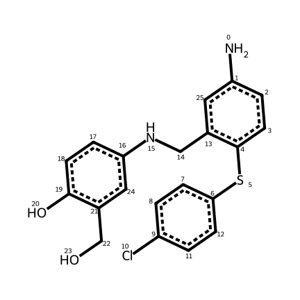 Nc1ccc(Sc2ccc(Cl)cc2)c(CNc2ccc(O)c(CO)c2)c1